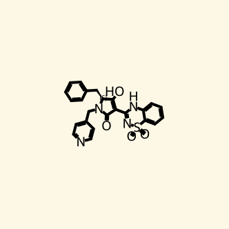 O=C1C(C2=NS(=O)(=O)c3ccccc3N2)=C(O)[C@H](Cc2ccccc2)N1Cc1ccncc1